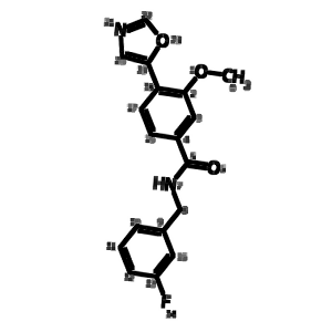 COc1cc(C(=O)NCc2cccc(F)c2)ccc1-c1cnco1